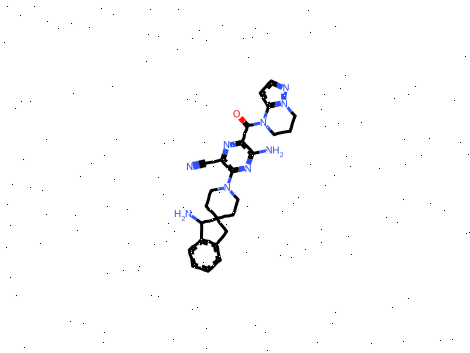 N#Cc1nc(C(=O)N2CCCn3nccc32)c(N)nc1N1CCC2(CC1)Cc1ccccc1C2N